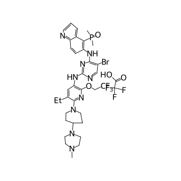 CCc1cc(Nc2ncc(Br)c(Nc3ccc4ncccc4c3P(C)(C)=O)n2)c(OCC(F)(F)F)nc1N1CCC(N2CCN(C)CC2)CC1.O=C(O)C(F)(F)F